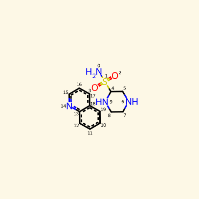 NS(=O)(=O)C1CNCCN1.c1ccc2ncccc2c1